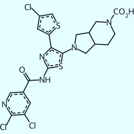 O=C(Nc1nc(-c2cc(Cl)cs2)c(N2CC3CCN(C(=O)O)CC3C2)s1)c1cnc(Cl)c(Cl)c1